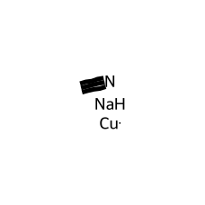 C#N.[Cu].[NaH]